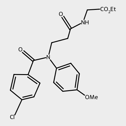 CCOC(=O)CNC(=O)CCN(C(=O)c1ccc(Cl)cc1)c1ccc(OC)cc1